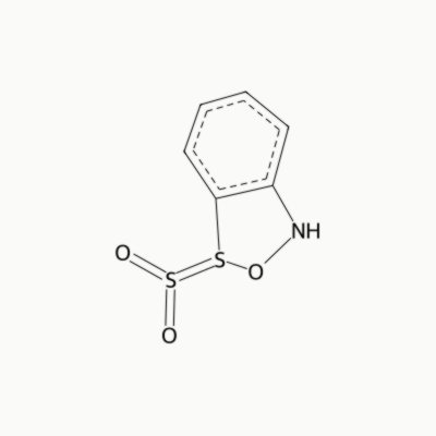 O=S(=O)=S1ONc2ccccc21